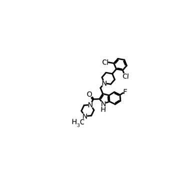 CN1CCN(C(=O)c2[nH]c3ccc(F)cc3c2CN2CCC(c3c(Cl)cccc3Cl)CC2)CC1